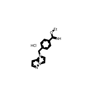 CCOC(=N)c1ccc(Cn2ccn3nccc23)cc1.Cl